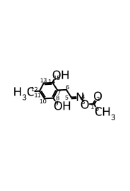 CC(=O)ON=CCc1c(O)cc(C)cc1O